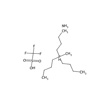 CCCC[PH](C)(CCCC)CCCC.N.O=S(=O)(O)C(F)(F)F